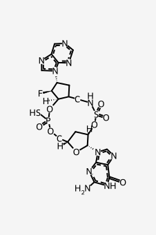 Nc1nc2c(ncn2[C@@H]2O[C@@H]3COP(=O)(S)O[C@@H]4C(CNS(=O)(=O)O[C@@H]2C3)C[C@@H](n2cnc3cncnc32)[C@@H]4F)c(=O)[nH]1